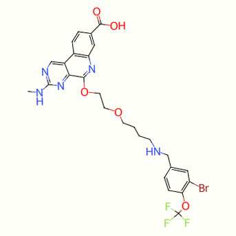 CNc1ncc2c(n1)c(OCCOCCCCNCc1ccc(OC(F)(F)F)c(Br)c1)nc1cc(C(=O)O)ccc12